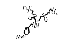 C=CCOC(=O)CC[C@H](NCc1ccc(NC)cc1)C(=O)OCC=C